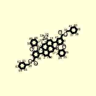 Cc1cc2c3c(cc4c([Si](C)(C)C)cc5c6c(cc1c3c46)B1c3ccccc3Oc3cc(C(=O)OCc4ccccc4)cc-5c31)B1c3ccccc3Oc3cc(C(=O)OCc4ccccc4)cc-2c31